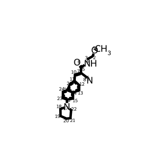 COCCNC(=O)/C(C#N)=C/c1ccc2cc(N3CCCCC3)ccc2c1